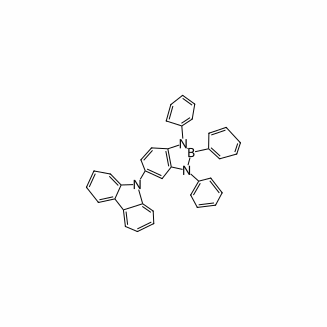 c1ccc(B2N(c3ccccc3)c3ccc(-n4c5ccccc5c5ccccc54)cc3N2c2ccccc2)cc1